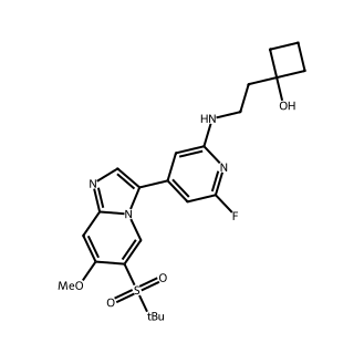 COc1cc2ncc(-c3cc(F)nc(NCCC4(O)CCC4)c3)n2cc1S(=O)(=O)C(C)(C)C